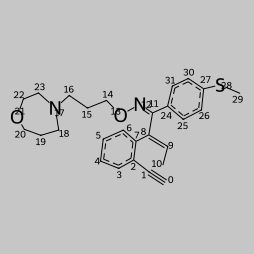 C#Cc1ccccc1C(=C\C)/C(=N\OCCCN1CCCOCC1)c1ccc(SC)cc1